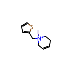 I[N+]1(Cc2cccs2)CC=CCC1